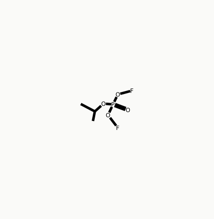 CC(C)OP(=O)(OF)OF